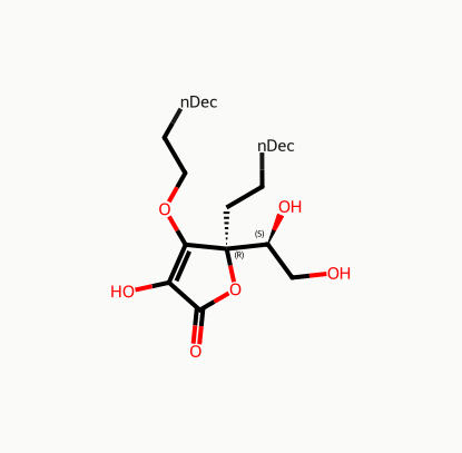 CCCCCCCCCCCCOC1=C(O)C(=O)O[C@]1(CCCCCCCCCCCC)[C@@H](O)CO